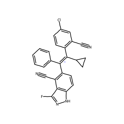 N#Cc1cc(Cl)ccc1/C(=C(\c1[c]cccc1)c1ccc2[nH]nc(F)c2c1C#N)C1CC1